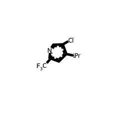 CC(C)c1cc(C(F)(F)F)ncc1Cl